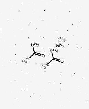 N.N.NC(N)=O.NC(N)=O